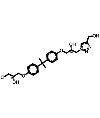 CC(C)(c1ccc(OC[C@@H](O)Cn2cc(CO)nn2)cc1)c1ccc(OC[C@@H](O)CCl)cc1